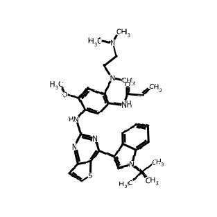 C=CC(=O)Nc1cc(Nc2nc(-c3cn(C(C)(C)C)c4ccccc34)c3sccc3n2)c(OC)cc1N(C)CCN(C)C